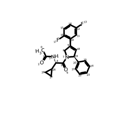 CC(=O)N[C@H](C(=O)N1CC(c2cc(F)ccc2F)=C[C@H]1c1ccccc1)C1CC1